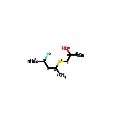 CCCCCCC(F)CC(C)SCC(O)CCCC